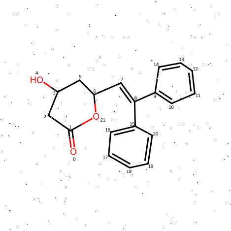 O=C1CC(O)CC(C=C(c2ccccc2)c2ccccc2)O1